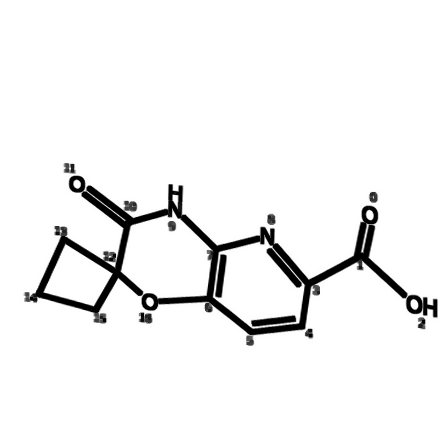 O=C(O)c1ccc2c(n1)NC(=O)C1(CCC1)O2